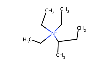 CCC(C)[N+](CC)(CC)CC